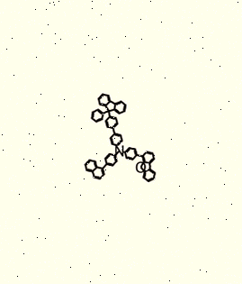 c1ccc(C2(c3ccc(-c4ccc(N(c5ccc(-c6cccc7ccccc67)cc5)c5ccc(-c6cccc7c6oc6ccccc67)cc5)cc4)cc3)c3ccccc3-c3ccccc32)cc1